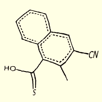 Cc1c(C#N)cc2ccccc2c1C(O)=S